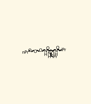 CCCOCCOCCOCCNC(=O)C(CCCNC(=O)CC(C)C)NC(=O)CC(C)C